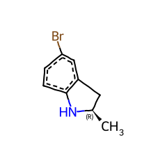 C[C@@H]1Cc2cc(Br)ccc2N1